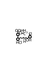 CCCOc1cc(-c2ccccc2CCCNC[C@H](O)c2cccc(Cl)c2)ccc1C(=O)O.Cl